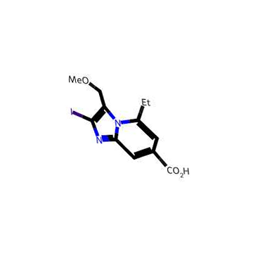 CCc1cc(C(=O)O)cc2nc(I)c(COC)n12